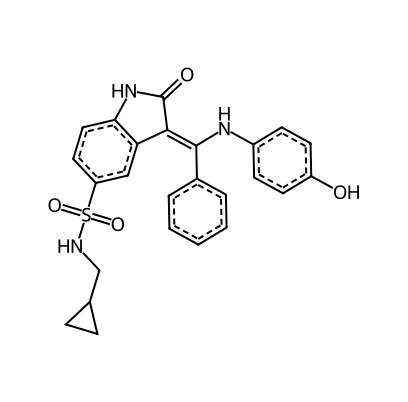 O=C1Nc2ccc(S(=O)(=O)NCC3CC3)cc2/C1=C(/Nc1ccc(O)cc1)c1ccccc1